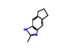 Cc1nc2cc3c(cc2[nH]1)CCC3